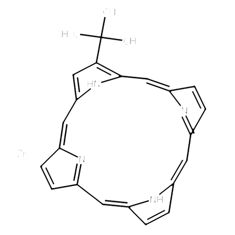 CC(C)(C)c1cc2cc3nc(cc4ccc(cc5nc(cc1[nH]2)C=C5)[nH]4)C=C3.[Zn]